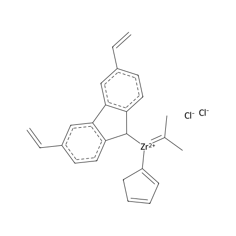 C=Cc1ccc2c(c1)-c1cc(C=C)ccc1[CH]2[Zr+2]([C]1=CC=CC1)=[C](C)C.[Cl-].[Cl-]